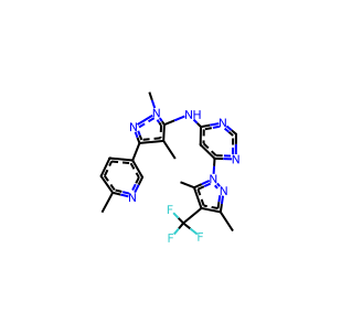 Cc1ccc(-c2nn(C)c(Nc3cc(-n4nc(C)c(C(F)(F)F)c4C)ncn3)c2C)cn1